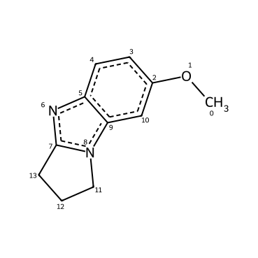 COc1ccc2nc3n(c2c1)CCC3